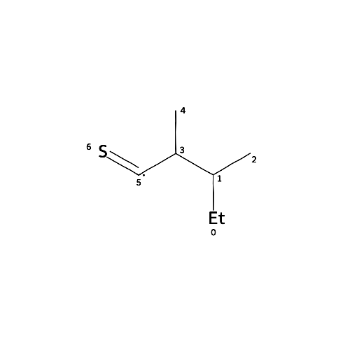 CCC(C)C(C)[C]=S